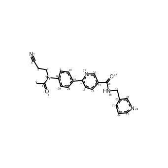 CC(=O)N(CCC#N)c1ccc(-c2ccc(C(=O)NCc3cccnc3)cn2)cc1